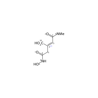 CNC(=O)/C=C(/CC(=O)NO)C(=O)O